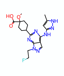 COC1(C(=O)O)CCC(c2nc(Nc3cc(C)[nH]n3)c3cnn(CCF)c3n2)CC1